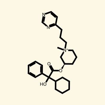 C[N+]1(CCCc2ccncn2)CCC[C@@H](OC(=O)C(O)(c2ccccc2)C2CCCCC2)C1